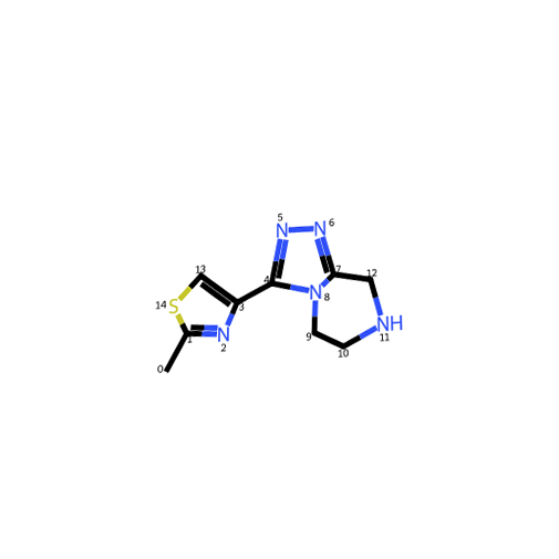 Cc1nc(-c2nnc3n2CCNC3)cs1